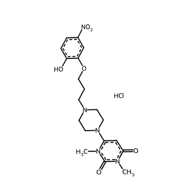 Cl.Cn1c(N2CCN(CCCOc3cc([N+](=O)[O-])ccc3O)CC2)cc(=O)n(C)c1=O